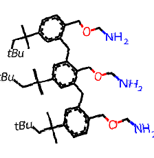 CC(C)(C)CC(C)(C)c1ccc(COCN)c(Cc2cc(C(C)(C)CC(C)(C)C)cc(Cc3cc(C(C)(C)CC(C)(C)C)ccc3COCN)c2COCN)c1